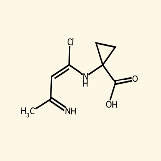 CC(=N)/C=C(/Cl)NC1(C(=O)O)CC1